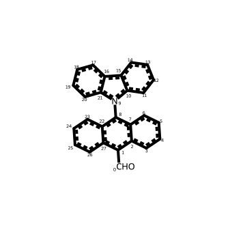 O=Cc1c2ccccc2c(-n2c3ccccc3c3ccccc32)c2ccccc12